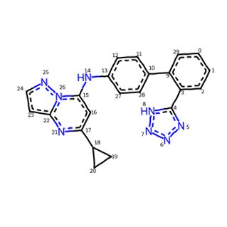 c1ccc(-c2nnn[nH]2)c(-c2ccc(Nc3cc(C4CC4)nc4ccnn34)cc2)c1